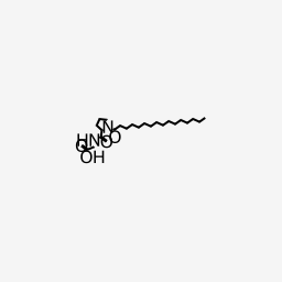 CCCCCCCCCCCCCCCC(=O)N1CCCC1C(=O)NCC(=O)O